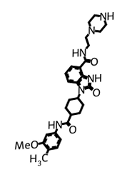 COc1cc(NC(=O)C2CCC(n3c(=O)[nH]c4c(C(=O)NCCN5CCNCC5)cccc43)CC2)ccc1C